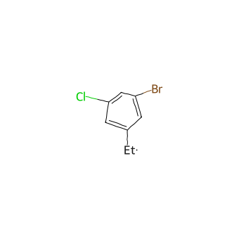 C[CH]c1cc(Cl)cc(Br)c1